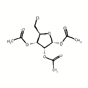 CC(=O)O[C@H]1O[C@H](CCl)[C@@H](OC(C)=O)[C@H]1OC(C)=O